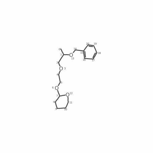 CC(COCCOC1CCCCO1)OCc1ccccc1